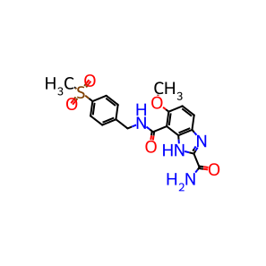 COc1ccc2nc(C(N)=O)[nH]c2c1C(=O)NCc1ccc(S(C)(=O)=O)cc1